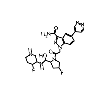 NC(=O)c1nn(CC(=O)N2CC(F)CC2C(O)NC2CNCCC2F)c2ccc(-c3ccnnc3)cc12